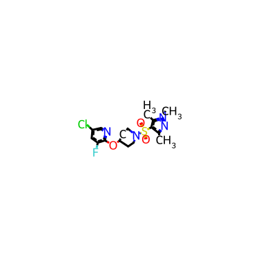 Cc1nn(C)c(C)c1S(=O)(=O)N1CCC(Oc2ncc(Cl)cc2F)CC1